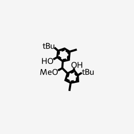 COC(c1cc(C)cc(C(C)(C)C)c1O)c1cc(C)cc(C(C)(C)C)c1O